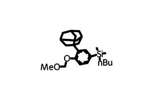 CCCC[Si](C)(C)c1ccc(OCOC)c(C23CC4CC(CC(C4)C2)C3)c1